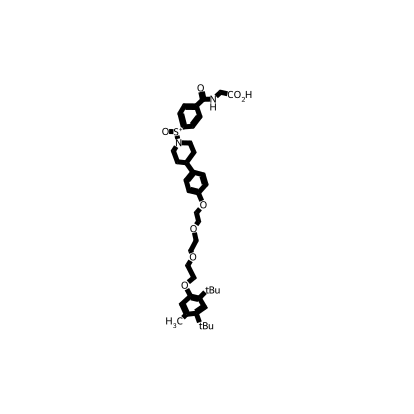 Cc1cc(OCCOCCOCCOc2ccc(C3CCN([S+]([O-])c4ccc(C(=O)NCC(=O)O)cc4)CC3)cc2)c(C(C)(C)C)cc1C(C)(C)C